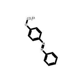 CCOC(=O)Oc1ccc(N=Nc2ccccc2)cc1